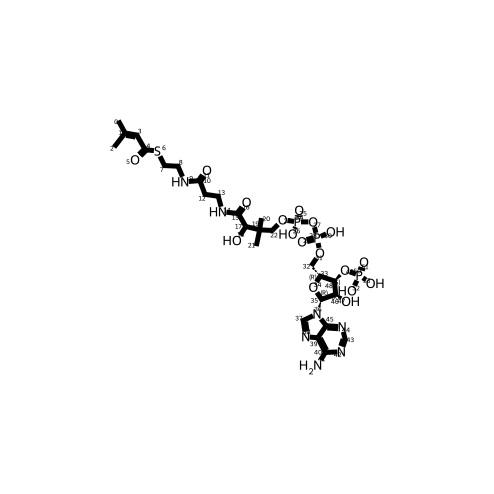 CC(C)=CC(=O)SCCNC(=O)CCNC(=O)C(O)C(C)(C)COP(=O)(O)OP(=O)(O)OC[C@H]1O[C@@H](n2cnc3c(N)ncnc32)[C@H](O)[C@@H]1OP(=O)(O)O